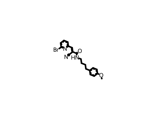 COc1ccc(CCCCNC(=O)C(C#N)=Cc2cccc(Br)n2)cc1